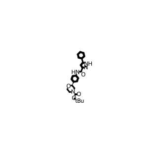 CC(C)(C)OC(=O)N1CCO[C@@H](c2ccc(NC(=O)c3cc(-c4ccccc4)[nH]n3)cc2)C1